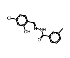 Cc1cccc(C(=O)N/N=C/c2ccc(Cl)cc2O)c1